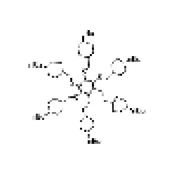 CCCCC1CCC(CSc2c(SCC3CCC(CCCC)CC3)c(SCC3CCC(CCCC)CC3)c(SCC3CCC(CCCC)CC3)c(SCC3CCC(CCCC)CC3)c2SCC2CCC(CCCC)CC2)CC1